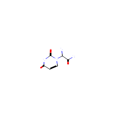 NC(=O)C(N)n1ccc(=O)[nH]c1=O